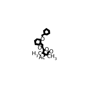 CC(=O)c1c(C)c(-c2cc3c(OCc4ccccc4)cccc3o2)oc(=O)c1C